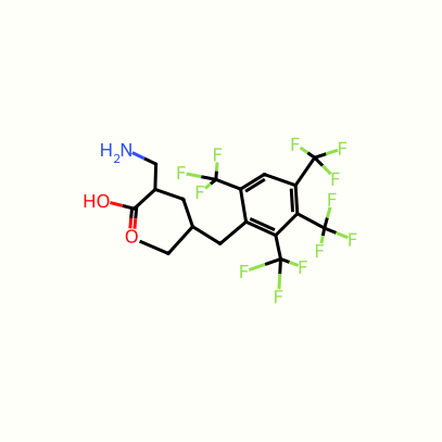 CCC(Cc1c(C(F)(F)F)cc(C(F)(F)F)c(C(F)(F)F)c1C(F)(F)F)CC(CN)C(=O)O